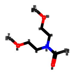 [CH2]CC(=O)N(CCOC(C)C)CCOC(C)C